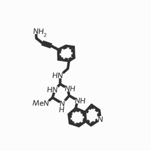 CNC1NC(NCc2cccc(C#CCN)c2)NC(Nc2cccc3cnccc23)N1